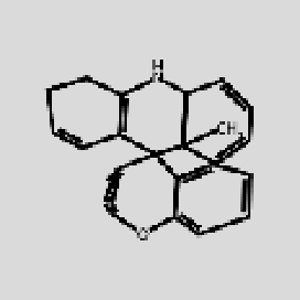 CC12C=CC=CC1NC1=C(C=CCC1)C21c2ccccc2Oc2ccccc21